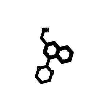 OCc1cc(C2OCCCO2)c2ccccc2c1